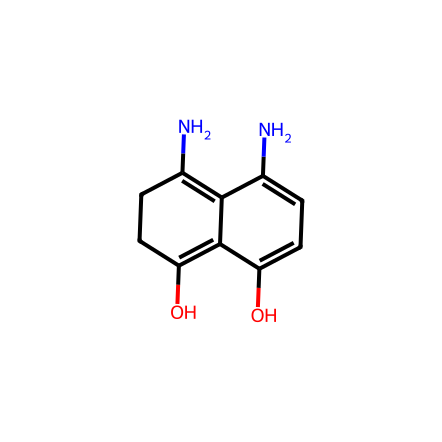 NC1=c2c(N)ccc(O)c2=C(O)CC1